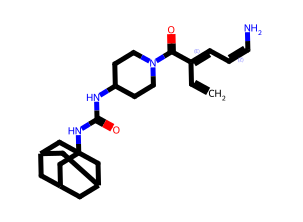 C=C/C(=C\C=C/N)C(=O)N1CCC(NC(=O)NC23CC4CC(CC(C4)C2)C3)CC1